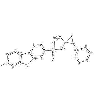 O=C(O)C1(NS(=O)(=O)c2ccc3c(c2)Cc2cc(F)ccc2-3)CC1c1ccccc1